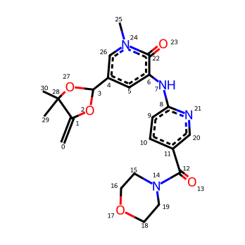 C=C1OC(c2cc(Nc3ccc(C(=O)N4CCOCC4)cn3)c(=O)n(C)c2)OC1(C)C